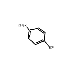 CCCCCCc1ccc(C(C)(C)C)cc1